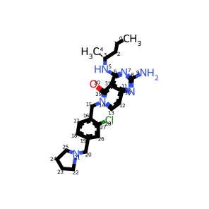 CCC[C@@H](C)Nc1nc(N)nc2ccn(Cc3ccc(CN4CCCC4)cc3Cl)c(=O)c12